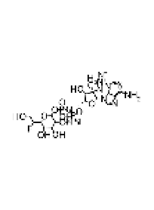 C[C@@]1(N=[N+]=[N-])[C@H](O)[C@@H](COP(=O)(S)OP(=O)(O)OC2OC([C@@H](F)CO)C(O)C(O)C2O)O[C@H]1n1cnc2c(N)ncnc21